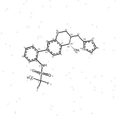 CC(F)(F)S(=O)(=O)Nc1ccccc1-c1ccc2c(c1)OCC(Cc1ncco1)[C@@H]2O